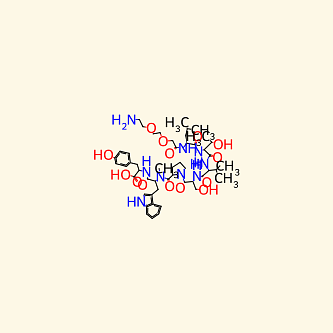 CC(C)C[C@H](NC(=O)COCCOCCN)C(=O)NC(C(=O)N[C@H](C(=O)NC(CO)C(=O)N1CCCC1C(=O)N(C)C(Cc1c[nH]c2ccccc12)C(=O)NC(Cc1ccc(O)cc1)C(=O)O)C(C)C)C(C)O